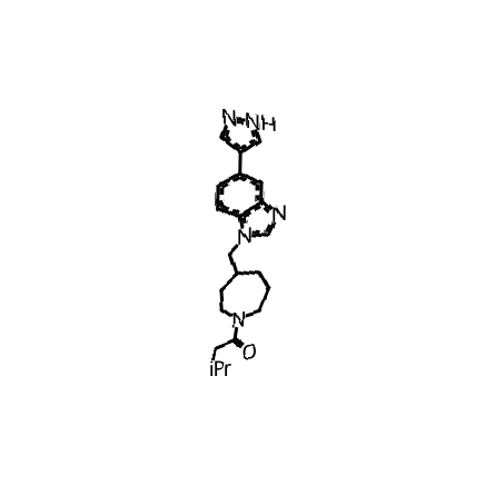 CC(C)CC(=O)N1CCCC(Cn2cnc3cc(-c4cn[nH]c4)ccc32)CC1